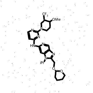 COC1CCN(c2nccc(Nc3cc4c(cn3)nc(CO[C@@H]3CCCCO3)n4C(C)C)n2)CC1C(F)(F)F